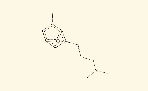 Cc1cc2cc(CCCN(C)C)c1o2